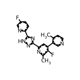 Cc1ccncc1-c1cc(-c2n[nH]c(-c3ccc(F)cn3)n2)nc(C)c1F